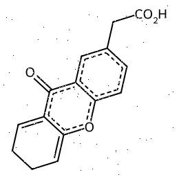 O=C(O)Cc1ccc2oc3c(c(=O)c2c1)=CCCC=3